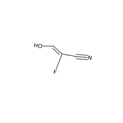 N#CC(F)=CO